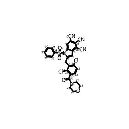 N#Cc1cc2c(cc(Cc3c(Cl)ccc(C(=O)N4CCOCC4)c3Cl)n2S(=O)(=O)c2ccccc2)c(C#N)c1C#N